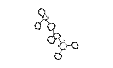 c1ccc(C2=NC(c3ccccc3)NC(c3ccc(-c4ccc(-c5nc6ccccc6n5-c5ccccc5)cc4)c4ccccc34)=N2)cc1